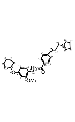 COc1cc(OC2CCCCO2)ccc1CNC(=O)c1ccc(OCCN2CCCC2)cc1